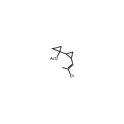 CCC(C)=CC1CC1C1(OC(C)=O)CC1